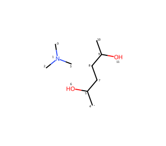 CN(C)C.[CH2]C(O)CCC(C)O